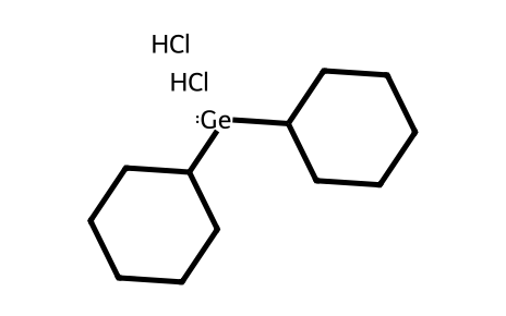 C1CC[CH]([Ge][CH]2CCCCC2)CC1.Cl.Cl